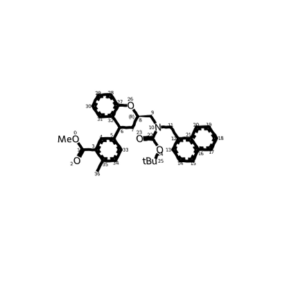 COC(=O)c1cc(C2C[C@H](CN(Cc3cccc4ccccc34)C(=O)OC(C)(C)C)Oc3ccccc32)ccc1C